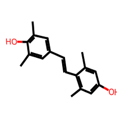 Cc1cc(/C=C/c2c(C)cc(O)cc2C)cc(C)c1O